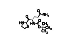 CC(C)(C)OC(=O)N[C@@H](CCC(N)=O)C(=O)C1NCCS1